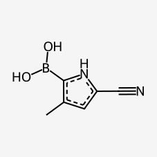 Cc1cc(C#N)[nH]c1B(O)O